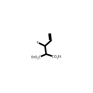 C=CC(F)C(C(=O)OCC)C(=O)OCC